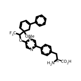 COC1(C(Oc2cnc(-c3ccc(C[C@H](N)C(=O)O)cc3)cn2)C(F)(F)F)C=CC=C(c2ccccc2)C1